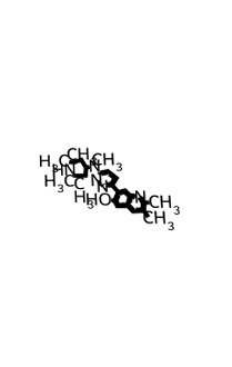 Cc1cc2cc(O)c(-c3ccc(N(C)C4CC(C)(C)NC(C)(C)C4)nn3)cc2nc1C